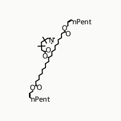 CCCCC/C=C\COC(=O)CCCCCCCCC(CCCCCCCCC(=O)OC/C=C\CCCCC)OC(=O)CC(C)(C)CC(C)(C)CN(C)C